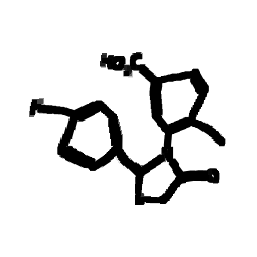 Cc1ccc(C(=O)O)cc1N1C(=O)CSC1c1ccc(F)cc1